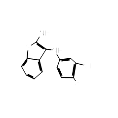 Nc1sc2ccccc2c1Nc1ccc(Cl)c(C(F)(F)F)c1